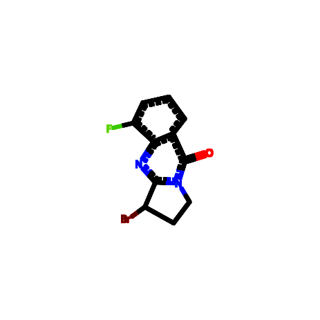 O=c1c2cccc(F)c2nc2n1CCC2Br